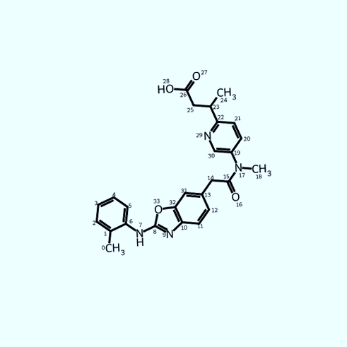 Cc1ccccc1Nc1nc2ccc(CC(=O)N(C)c3ccc(C(C)CC(=O)O)nc3)cc2o1